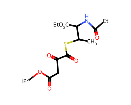 CCOC(=O)C(NC(=O)CC)C(C)SC(=O)C(=O)CC(=O)OC(C)C